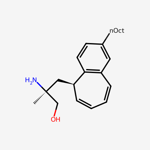 CCCCCCCCc1ccc2c(c1)C=CC=C[C@H]2C[C@](C)(N)CO